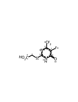 O=C(O)CSc1nc(C(F)(F)F)c(F)c(=O)[nH]1